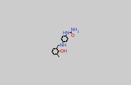 Cc1cccc(CNc2ccc(NC(N)=O)cc2)c1O